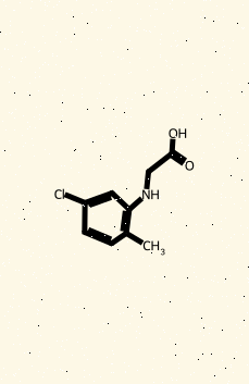 Cc1ccc(Cl)cc1NCC(=O)O